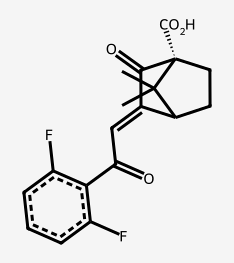 CC1(C)C2CC[C@]1(C(=O)O)C(=O)C2=CC(=O)c1c(F)cccc1F